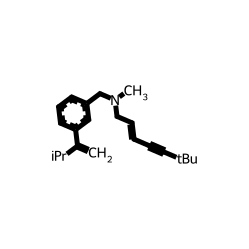 C=C(c1cccc(CN(C)CC=CC#CC(C)(C)C)c1)C(C)C